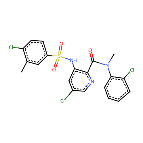 Cc1cc(S(=O)(=O)Nc2cc(Cl)cnc2C(=O)N(C)c2ccccc2Cl)ccc1Cl